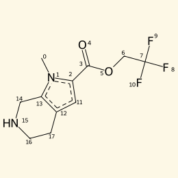 Cn1c(C(=O)OCC(F)(F)F)cc2c1CNCC2